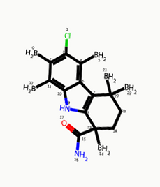 Bc1c(Cl)c(B)c2c3c([nH]c2c1B)C(B)(C(N)=O)CCC3(B)B